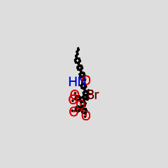 CCCCCC1CCC(c2ccc(-c3ccc(C(=O)Nc4ccc(-c5cc6c(c(Br)c5C)C(C)(C)c5c7c(c8cc(OC)c(OC)cc8c5-6)OC(c5ccc(OC)cc5)(c5ccc(OC)cc5)C=C7)cc4)cc3)cc2)CC1